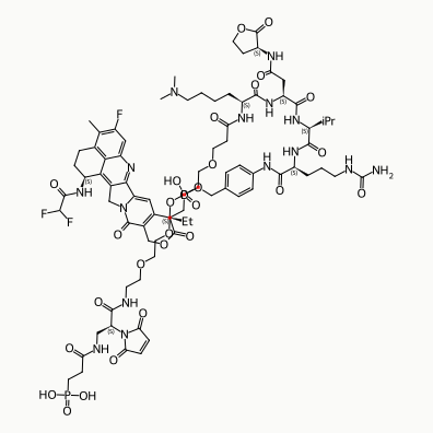 CC[C@@]1(OP(=O)(O)OCc2ccc(NC(=O)[C@H](CCCNC(N)=O)NC(=O)[C@@H](NC(=O)[C@H](CC(=O)N[C@H]3CCOC3=O)NC(=O)[C@H](CCCCN(C)C)NC(=O)CCOCCOCCOCCOCCNC(=O)[C@H](CNC(=O)CCP(=O)(O)O)N3C(=O)C=CC3=O)C(C)C)cc2)C(=O)OCc2c1cc1n(c2=O)Cc2c-1nc1cc(F)c(C)c3c1c2[C@@H](NC(=O)C(F)F)CC3